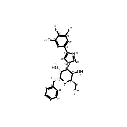 OC[C@H]1O[C@H](Oc2ccccc2)[C@H](O)[C@@H](n2cc(-c3cc(F)c(F)c(F)c3)nn2)[C@H]1O